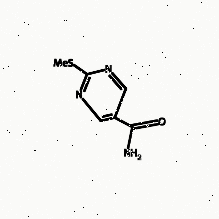 CSc1ncc(C(N)=O)cn1